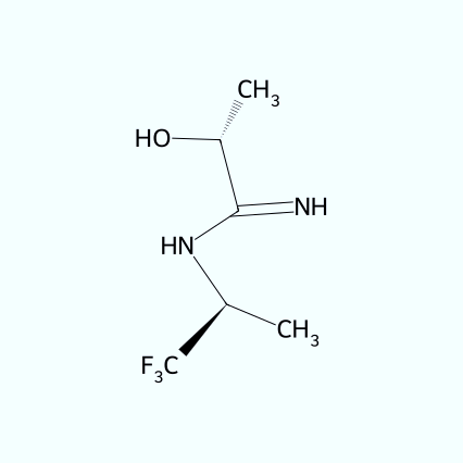 C[C@H](NC(=N)[C@@H](C)O)C(F)(F)F